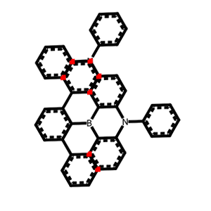 c1ccc(-c2cccc(-c3ccccc3)c2B2c3ccccc3N(c3ccccc3)c3ccc(N(c4ccccc4)c4ccccc4)cc32)cc1